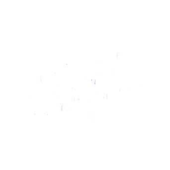 CC(C)(C)OC(=O)CN(C(=O)c1c(F)cccc1F)c1cccc(-c2ccccc2Cl)c1